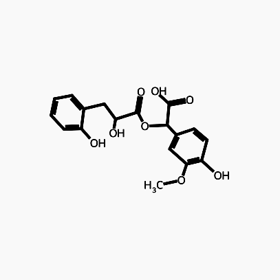 COc1cc(C(OC(=O)C(O)Cc2ccccc2O)C(=O)O)ccc1O